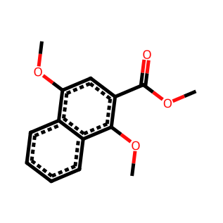 COC(=O)c1cc(OC)c2ccccc2c1OC